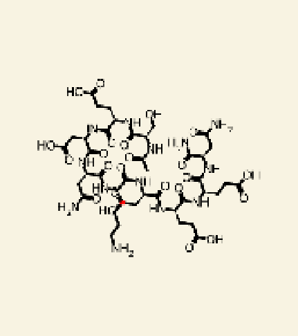 CC(=O)N[C@H](CO)C(=O)N[C@H](CCC(=O)O)C(=O)N[C@H](CC(=O)O)C(=O)N[C@H](CC(N)=O)C(=O)N[C@H](CCCCN)C(=O)N[C@H](CC(=O)O)C(=O)N[C@H](CCC(=O)O)C(=O)N[C@H](CCC(=O)O)C(=O)N[C@H](CC(N)=O)C(N)=O